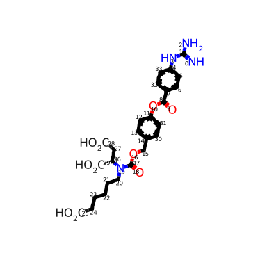 N=C(N)Nc1ccc(C(=O)Oc2ccc(COC(=O)N(CCCCCC(=O)O)[C@@H](CC(=O)O)C(=O)O)cc2)cc1